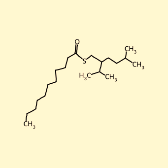 CCCCCCCCCCC(=O)SCC(CCC(C)C)C(C)C